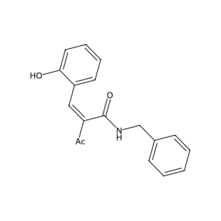 CC(=O)/C(=C/c1ccccc1O)C(=O)NCc1ccccc1